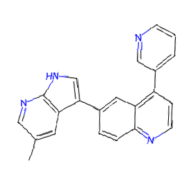 Cc1cnc2[nH]cc(-c3ccc4nccc(-c5cccnc5)c4c3)c2c1